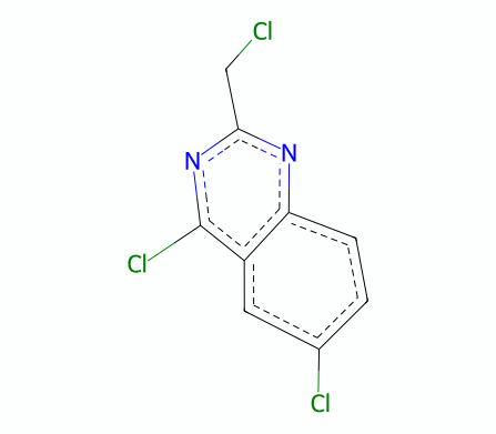 ClCc1nc(Cl)c2cc(Cl)ccc2n1